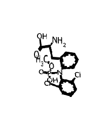 COP(=O)(O)N(c1ccccc1C[C@H](N)C(=O)O)c1c(Cl)cccc1Cl